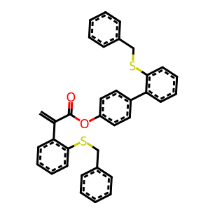 C=C(C(=O)Oc1ccc(-c2ccccc2SCc2ccccc2)cc1)c1ccccc1SCc1ccccc1